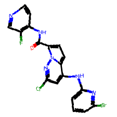 O=C(Nc1ccncc1F)c1ccc2c(Nc3cccc(Br)n3)cc(Cl)nn12